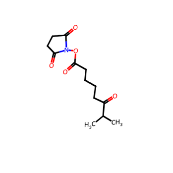 CC(C)C(=O)CCCCC(=O)ON1C(=O)CCC1=O